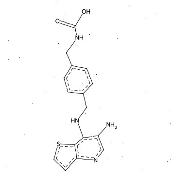 Nc1cnc2ccsc2c1NCc1ccc(CNC(=O)O)cc1